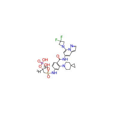 [2H]C([2H])(CS(=O)(=O)Nc1ccc(C(=O)Nc2cc(N3CC(F)(F)C3)n3nccc3c2)c(N2CCC3(CC2)CC3)c1)OP(=O)(O)O